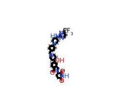 O=C1CCC(N2Cc3cc(C4(O)CCN(Cc5ccc(N6CCC(Nc7nccc(C(F)(F)F)n7)CC6)cc5)CC4)ccc3C2=O)C(=O)N1